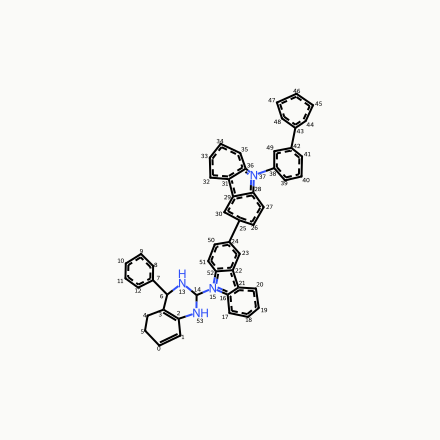 C1=CC2=C(CC1)C(c1ccccc1)NC(n1c3ccccc3c3cc(-c4ccc5c(c4)c4ccccc4n5-c4cccc(-c5ccccc5)c4)ccc31)N2